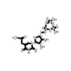 NC(=O)Cc1cn([C@@H]2O[C@H](COP3(=O)OP(=O)(O)OP(=O)(O)O3)C(O)[C@@H]2O)c(=O)[nH]c1=O